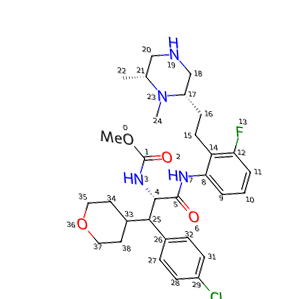 COC(=O)N[C@H](C(=O)Nc1cccc(F)c1CC[C@H]1CNC[C@@H](C)N1C)C(c1ccc(Cl)cc1)C1CCOCC1